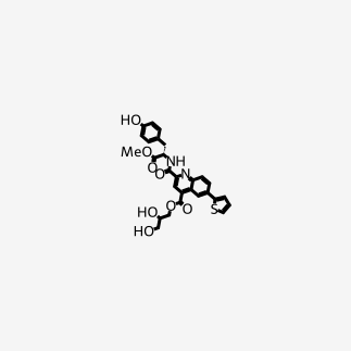 COC(=O)[C@H](Cc1ccc(O)cc1)NC(=O)c1cc(C(=O)OCC(O)CO)c2cc(-c3cccs3)ccc2n1